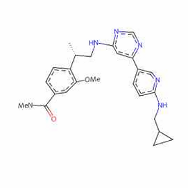 CNC(=O)c1ccc([C@H](C)CNc2cc(-c3ccc(NCC4CC4)nc3)ncn2)c(OC)c1